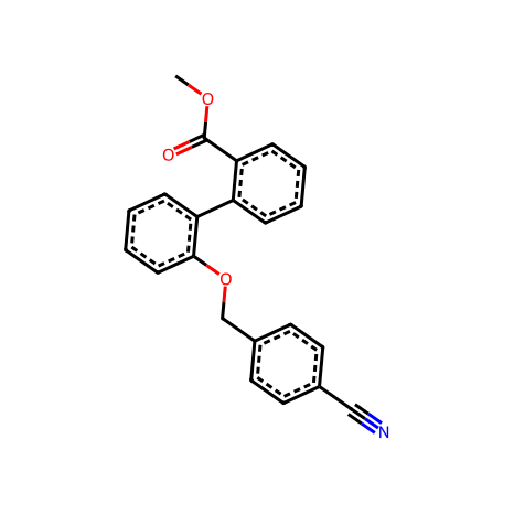 COC(=O)c1ccccc1-c1ccccc1OCc1ccc(C#N)cc1